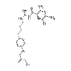 C=C(CO)COc1ccc(CCCCNC(=N)NC(=O)c2nc(Cl)c(N)nc2N)cc1